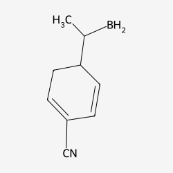 BC(C)C1C=CC(C#N)=CC1